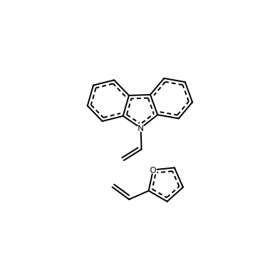 C=Cc1ccco1.C=Cn1c2ccccc2c2ccccc21